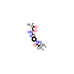 CC(=O)CC(=O)Nc1nc2ccc(NC(=O)C(C)C)cc2s1